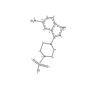 CCS(=O)(=O)N1CCN(c2n[nH]c3ccc([N+](=O)[O-])cc23)CC1